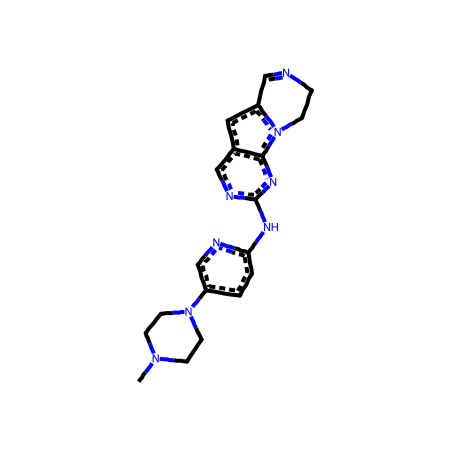 CN1CCN(c2ccc(Nc3ncc4cc5n(c4n3)CCN=C5)nc2)CC1